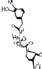 NC1CN(C(=O)NS(=O)(=O)NNC(=O)Cc2ccc(O)c(O)c2)C1=O